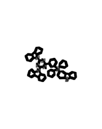 c1ccc([Si](c2ccccc2)(c2cccc(-c3nc(-n4c5ccccc5c5ccccc54)nc(-n4c5ccccc5c5ccccc54)n3)c2)c2ccc3sc4ccccc4c3c2)cc1